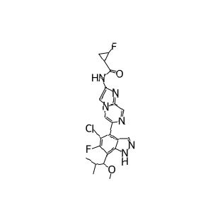 COC(c1c(F)c(Cl)c(-c2cn3cc(NC(=O)C4CC4F)nc3cn2)c2cn[nH]c12)C(C)C